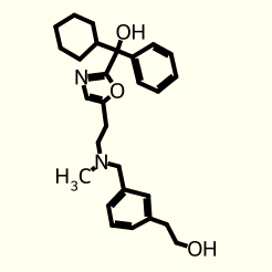 CN(CCc1cnc(C(O)(c2ccccc2)C2CCCCC2)o1)Cc1cccc(CCO)c1